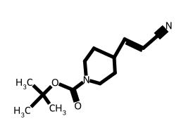 CC(C)(C)OC(=O)N1CCC(/C=C/C#N)CC1